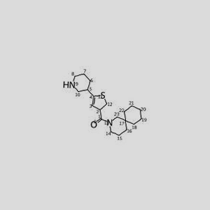 O=C(C1C=C(C2CCCNC2)SC1)N1CCCC2(CCCCC2)C1